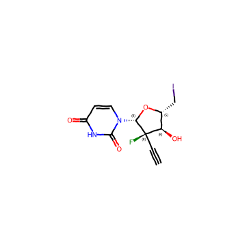 C#C[C@@]1(F)[C@H](O)[C@@H](CI)O[C@H]1n1ccc(=O)[nH]c1=O